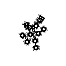 c1ccc(-c2ccc(N3c4ccc(-c5ccccc5)cc4B4c5c(cc(N(c6ccccc6)c6ccccc6)cc53)-c3cc(C56C7CCC5CC6C7)cc5c6cc(C78CC9CC%10CC(C7)C%109C8)ccc6n4c35)cc2)cc1